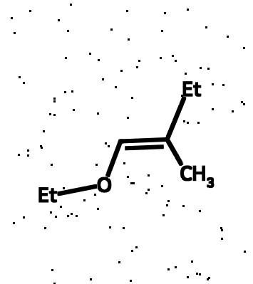 [CH2]CO/C=C(\C)CC